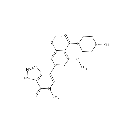 COc1cc(-c2cn(C)c(=O)c3[nH]ncc23)cc(OC)c1C(=O)N1CCN(S)CC1